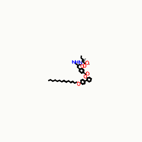 CCCCCCCCCCCCCCOc1ccc(-c2ccccc2OC(=O)c2ccc(C=C(C#N)C(=O)N[C@H](C(=O)OC)[C@@H](C)CC)cc2)cc1